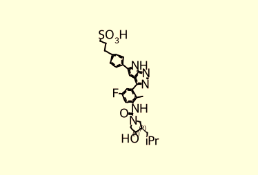 Cc1c(NC(=O)N2C[C@@H](CC(C)C)[C@@H](O)C2)cc(F)cc1-c1ncnc2[nH]c(-c3ccc(CCCS(=O)(=O)O)cc3)cc12